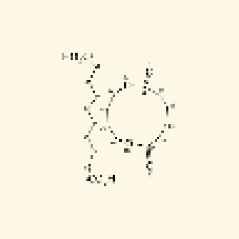 O=C(O)CCCCCCCCC(=O)O.O=C1CCCCC(=O)OCCCCO1